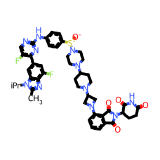 Cc1nc2c(F)cc(-c3nc(Nc4ccc([S+]([O-])N5CCN(C6CCN(C7CN(c8cccc9c8C(=O)N(C8CCC(=O)NC8=O)C9=O)C7)CC6)CC5)cc4)ncc3F)cc2n1C(C)C